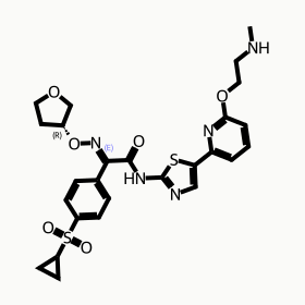 CNCCOc1cccc(-c2cnc(NC(=O)/C(=N/O[C@@H]3CCOC3)c3ccc(S(=O)(=O)C4CC4)cc3)s2)n1